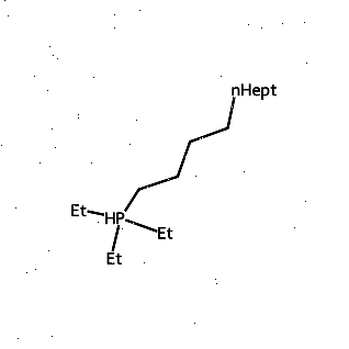 CCCCCCCCCCC[PH](CC)(CC)CC